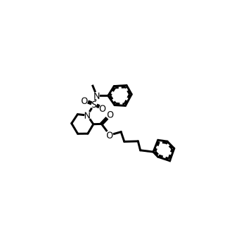 CN(c1ccccc1)S(=O)(=O)N1CCCCC1C(=O)OCCCCc1ccccc1